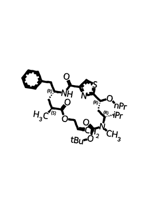 C=CCOC(=O)[C@@H](C)C[C@H](Cc1ccccc1)NC(=O)c1csc([C@@H](C[C@H](C(C)C)N(C)C(=O)OC(C)(C)C)OCCC)n1